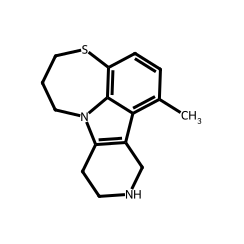 Cc1ccc2c3c1c1c(n3CCCS2)CCNC1